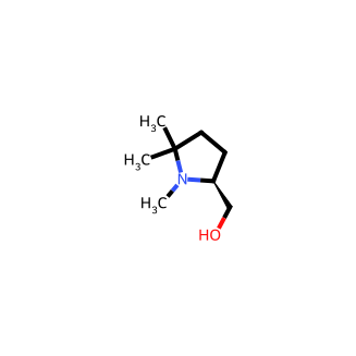 CN1[C@H](CO)CCC1(C)C